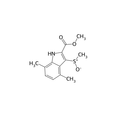 COC(=O)c1[nH]c2c(C)ccc(C)c2c1[S+](C)[O-]